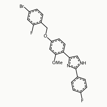 COc1cc(OCc2ccc(Br)cc2F)ccc1-c1c[nH]c(-c2ccc(F)cc2)n1